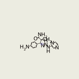 C=C(C(N)=O)/C(=N\NNc1cnccn1)c1ccc(N)cc1